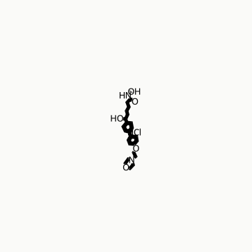 Cl.O=C(CCCCC(O)c1ccc(-c2ccc(OCCN3CCOCC3)cc2)cc1)NO